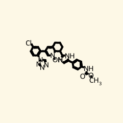 COC(=O)Nc1ccc(-c2cnc(C3CCCC4=CC(c5cc(Cl)ccc5-n5cnnn5)=CN(O)C43)[nH]2)cc1